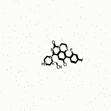 N#CC[C@@H]1CNCCN1c1nc(=O)n2c3c(c(-c4ccc(F)cc4F)c(Cl)cc13)SCC2